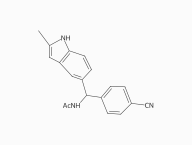 CC(=O)NC(c1ccc(C#N)cc1)c1ccc2[nH]c(C)cc2c1